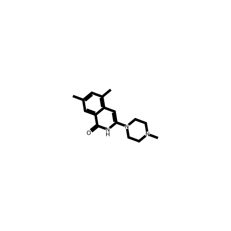 Cc1cc(C)c2cc(N3CCN(C)CC3)[nH]c(=O)c2c1